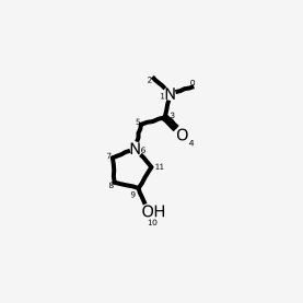 CN(C)C(=O)CN1CCC(O)C1